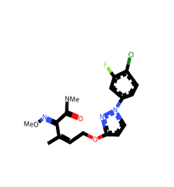 CNC(=O)C(=N/OC)/C(C)=C\COc1ccn(-c2ccc(Cl)c(F)c2)n1